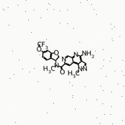 CN(C(=O)c1cc2c(cn1)nc(N)c1cnn(C)c12)[C@@H]1COc2cc(OC(F)(F)F)ccc21